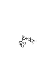 Fc1cc(CNc2cncc(-c3ccnc(Cl)c3Cl)c2)ccc1Cl